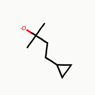 CC(C)([O])CCC1CC1